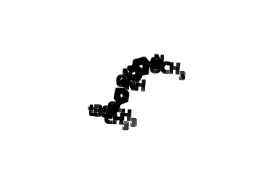 Cc1ncc(-c2ccc3cnc(NC(=O)[C@H]4CC[C@H](CO[Si](C)(C)C(C)(C)C)CC4)cc3c2)o1